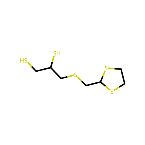 SCC(S)CSCC1SCCS1